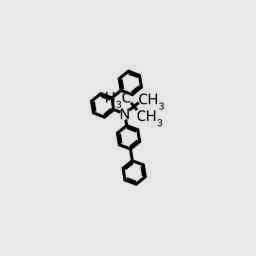 CC(C)(C)N(c1ccc(-c2ccccc2)cc1)c1ccccc1-c1ccccc1